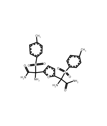 Cc1ccc(S(=O)(=O)C(N)(C(N)=O)c2ccc(C(N)(C(N)=O)S(=O)(=O)c3ccc(C)cc3)o2)cc1